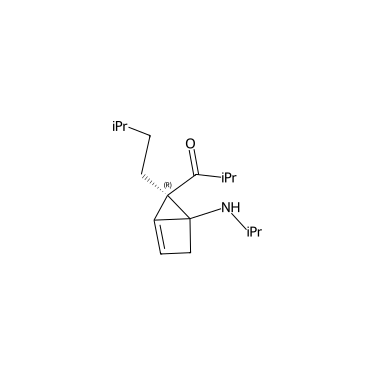 CC(C)CC[C@@]1(C(=O)C(C)C)C2=CCC21NC(C)C